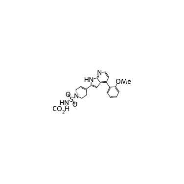 COc1ccccc1-c1ccnc2[nH]c(C3=CCN(S(=O)(=O)NC(=O)O)CC3)cc12